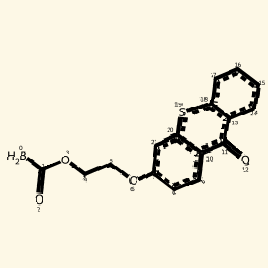 BC(=O)OCCOc1ccc2c(=O)c3ccccc3sc2c1